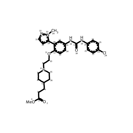 COC(=O)CCC1CCN(CCOc2ccc(NC(=O)Nc3ccc(Cl)cc3)cc2-c2ccnn2C)CC1